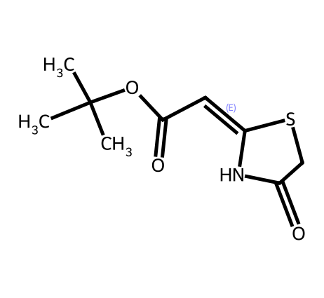 CC(C)(C)OC(=O)/C=C1\NC(=O)CS1